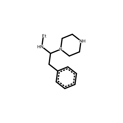 CCN[C](Cc1ccccc1)N1CCNCC1